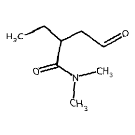 CCC(CC=O)C(=O)N(C)C